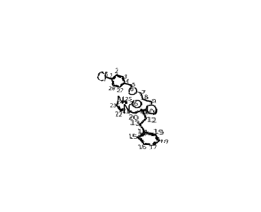 Clc1ccc(COCC2COC(CCc3ccccc3)(Cn3ccnc3)O2)cc1